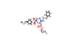 CCOC(=O)CC1CN(S(=O)(=O)c2ccc(C)cc2)CCN1CCCc1ccccc1